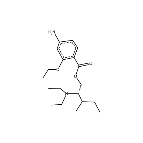 CCOc1cc(N)ccc1C(=O)OC[C@H](C(C)CC)N(CC)CC